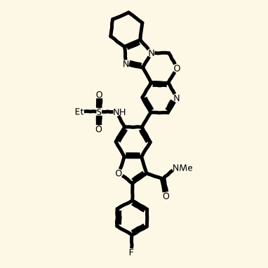 CCS(=O)(=O)Nc1cc2oc(-c3ccc(F)cc3)c(C(=O)NC)c2cc1-c1cnc2c(c1)-c1nc3c(n1CO2)CCCC3